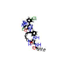 COC(=O)NCC[C@H]1Nc2cccc(c2)C(n2cnc(-c3cc(Cl)ccc3-n3cc(Cl)nn3)cc2=O)CCCCCNC1=O